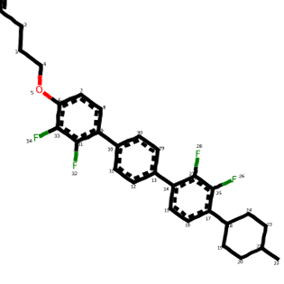 C=CCCCOc1ccc(-c2ccc(-c3ccc(C4CCC(C)CC4)c(F)c3F)cc2)c(F)c1F